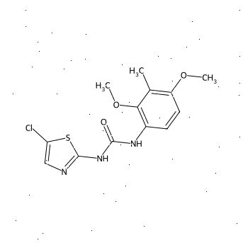 COc1ccc(NC(=O)Nc2ncc(Cl)s2)c(OC)c1C